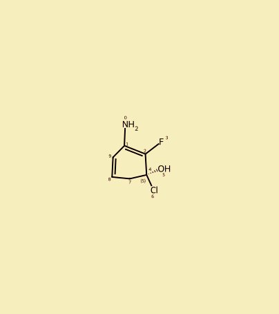 NC1=C(F)[C@@](O)(Cl)CC=C1